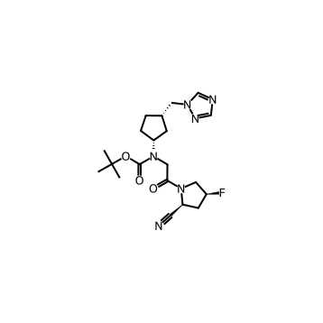 CC(C)(C)OC(=O)N(CC(=O)N1C[C@@H](F)C[C@H]1C#N)[C@@H]1CC[C@H](Cn2cncn2)C1